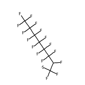 FC(C(F)(F)[S])C(F)(F)C(F)(F)C(F)(F)C(F)(F)C(F)(F)C(F)(F)F